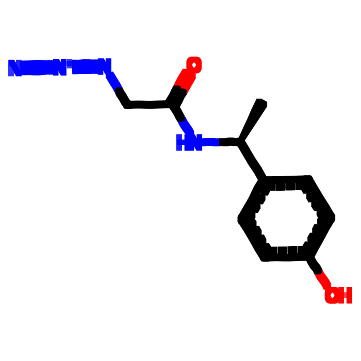 C[C@H](NC(=O)CN=[N+]=[N-])c1ccc(O)cc1